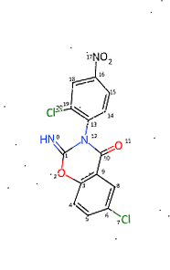 N=c1oc2ccc(Cl)cc2c(=O)n1-c1ccc([N+](=O)[O-])cc1Cl